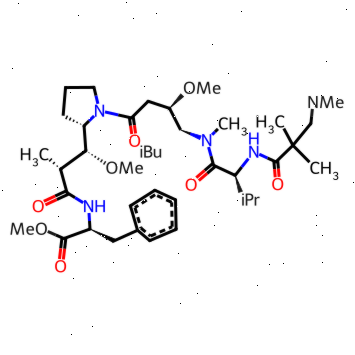 CC[C@H](C)[C@@H]([C@@H](CC(=O)N1CCC[C@H]1[C@H](OC)[C@@H](C)C(=O)N[C@@H](Cc1ccccc1)C(=O)OC)OC)N(C)C(=O)[C@@H](NC(=O)C(C)(C)CNC)C(C)C